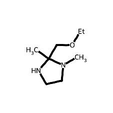 CCOCC1(C)NCCN1C